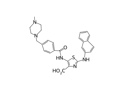 CN1CCN(Cc2ccc(C(=O)Nc3sc(Nc4ccc5ccccc5c4)nc3C(=O)O)cc2)CC1